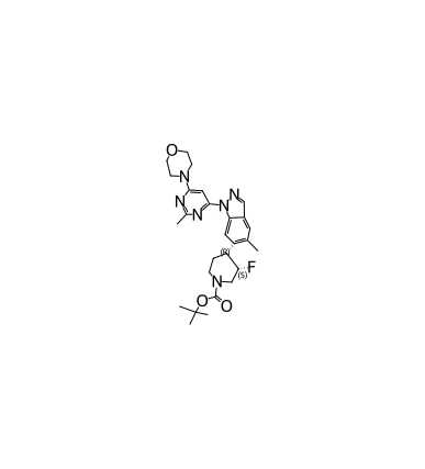 Cc1nc(N2CCOCC2)cc(-n2ncc3cc(C)c([C@H]4CCN(C(=O)OC(C)(C)C)C[C@H]4F)cc32)n1